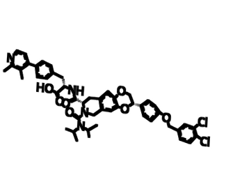 Cc1nccc(-c2ccc(C[C@H](NC(=O)[C@@H]3Cc4cc5c(cc4CN3C(=O)N(C(C)C)C(C)C)O[C@@H](c3ccc(OCc4ccc(Cl)c(Cl)c4)cc3)CO5)C(=O)O)cc2)c1C